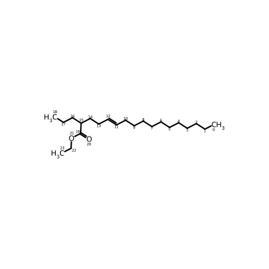 CCCCCCCCCCCC=CCCC(CCC)C(=O)OCC